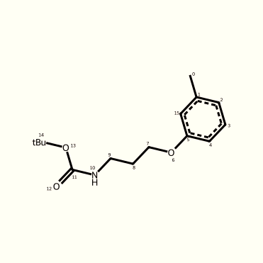 Cc1cccc(OCCCNC(=O)OC(C)(C)C)c1